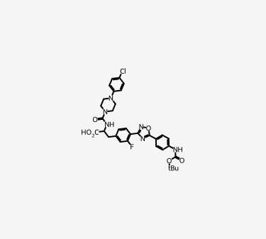 CC(C)(C)OC(=O)Nc1ccc(-c2nc(-c3ccc(CC(NC(=O)N4CCN(c5ccc(Cl)cc5)CC4)C(=O)O)cc3F)no2)cc1